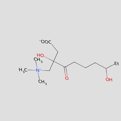 CCC(O)CCCC(=O)C(O)(CC(=O)[O-])C[N+](C)(C)C